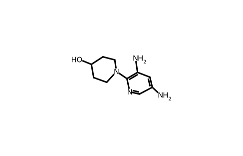 Nc1cnc(N2CCC(O)CC2)c(N)c1